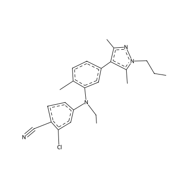 CCCn1nc(C)c(-c2ccc(C)c(N(CC)c3ccc(C#N)c(Cl)c3)c2)c1C